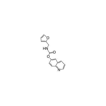 O=C(NCc1ccco1)Oc1ccc2ncccc2c1